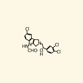 O=[C]Nn1c2c(c3cc(Cl)ccc31)CN(CC(O)c1ccc(Cl)c(Cl)c1)C2